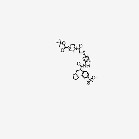 CC(C)(C)OC(=O)N1CCN(C(=O)CSc2cnc(NC(=O)C(CC3CCCC3)c3ccc(S(C)(=O)=O)cc3)s2)CC1